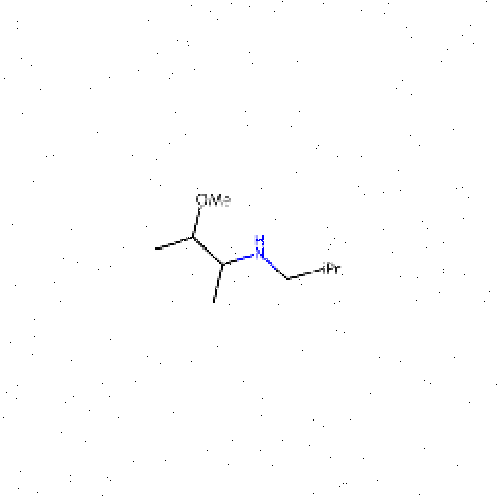 COC(C)C(C)NCC(C)C